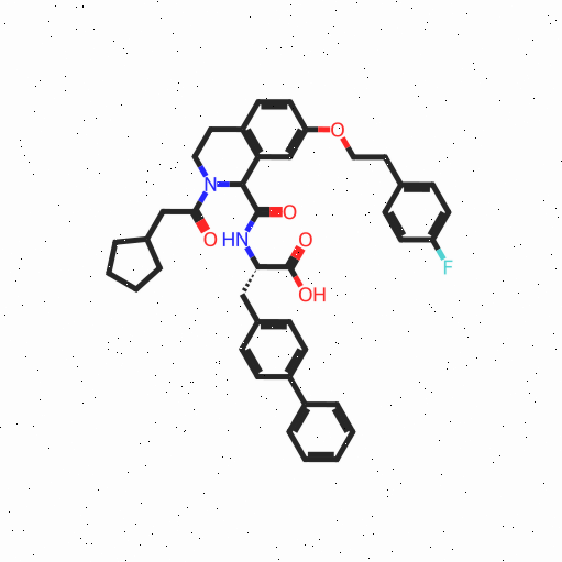 O=C(N[C@@H](Cc1ccc(-c2ccccc2)cc1)C(=O)O)C1c2cc(OCCc3ccc(F)cc3)ccc2CCN1C(=O)CC1CCCC1